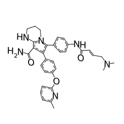 Cc1cccc(Oc2ccc(-c3c(C(N)=O)c4n(c3-c3ccc(NC(=O)/C=C/CN(C)C)cc3)CCCN4)cc2)n1